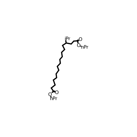 CCCOC(=O)CCCCCCCCCCCCCC(CCC(=O)OCCC)C(C)C